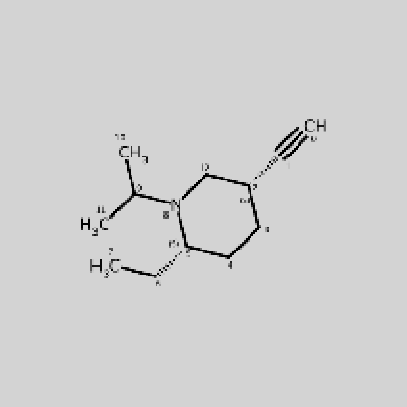 C#C[C@@H]1CC[C@H](CC)N(C(C)C)C1